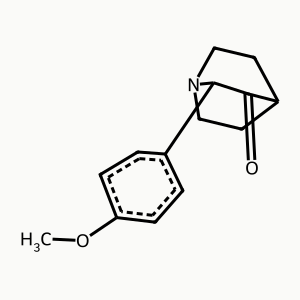 COc1ccc(C2C(=O)C3CCN2CC3)cc1